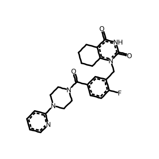 O=C(c1ccc(F)c(Cn2c3c(c(=O)[nH]c2=O)CCCC3)c1)N1CCN(c2ccccn2)CC1